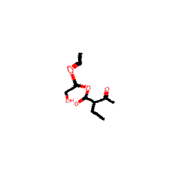 CCOC(CO)OC(=O)C(CC)C(C)=O